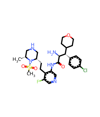 C[C@@H]1CNC[C@H](CCc2c(F)cncc2NC(=O)[C@@H](N)[C@@H](c2ccc(Cl)cc2)C2CCOCC2)N1S(C)(=O)=O